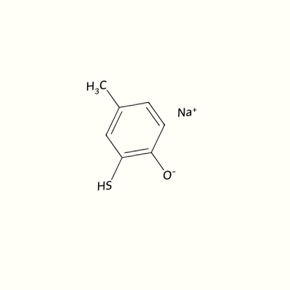 Cc1ccc([O-])c(S)c1.[Na+]